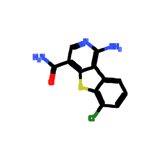 NC(=O)c1cnc(N)c2c1sc1c(Cl)cccc12